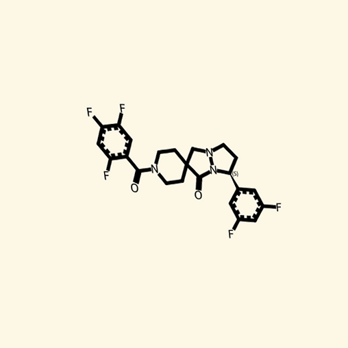 O=C(c1cc(F)c(F)cc1F)N1CCC2(CC1)CN1CC[C@@H](c3cc(F)cc(F)c3)N1C2=O